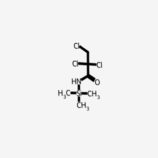 C[Si](C)(C)NC(=O)C(Cl)(Cl)CCl